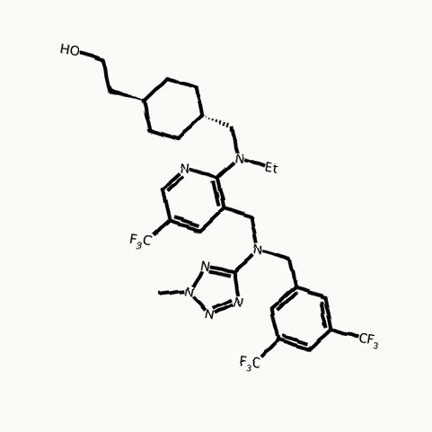 CCN(C[C@H]1CC[C@H](CCO)CC1)c1ncc(C(F)(F)F)cc1CN(Cc1cc(C(F)(F)F)cc(C(F)(F)F)c1)c1nnn(C)n1